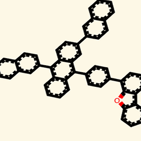 c1ccc2cc(-c3ccc4c(-c5ccc6ccccc6c5)c5ccccc5c(-c5ccc(-c6cccc7c6oc6ccccc67)cc5)c4c3)ccc2c1